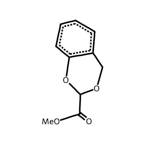 COC(=O)C1OCc2ccccc2O1